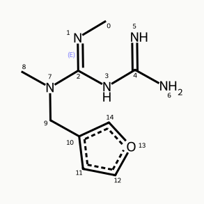 C/N=C(\NC(=N)N)N(C)Cc1ccoc1